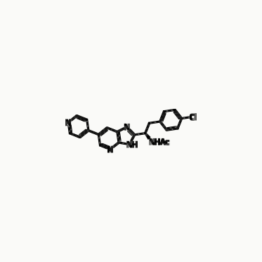 CC(=O)N[C@H](Cc1ccc(Cl)cc1)c1nc2cc(-c3ccncc3)cnc2[nH]1